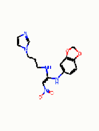 O=[N+]([O-])/C=C(/NCCCn1ccnc1)Nc1ccc2c(c1)OCO2